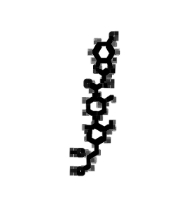 C[C@H]1CN(c2ncc(C[C@@H](O)CO)cc2F)CCN1C(=O)Nc1nc2cc(Cl)ccc2s1